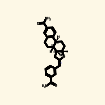 C[C@]12CC[C@@H]3c4ccc(C(N)=O)cc4CC[C@H]3[C@@H]1C/C(=C\c1cccc(C(N)=O)c1)O2